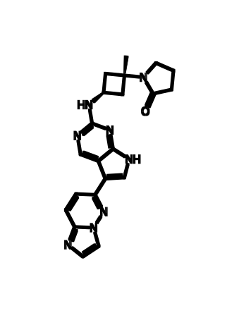 C[C@]1(N2CCCC2=O)C[C@H](Nc2ncc3c(-c4ccc5nccn5n4)c[nH]c3n2)C1